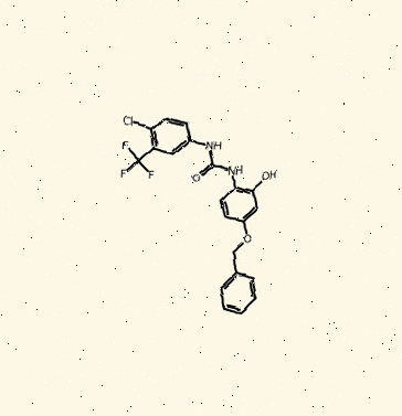 O=C(Nc1ccc(Cl)c(C(F)(F)F)c1)Nc1ccc(OCc2ccccc2)cc1O